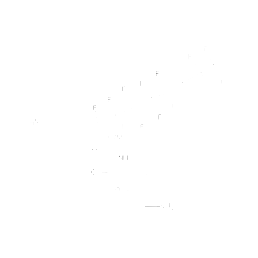 C=CC(=O)OC(C)NS(=O)(=O)C(F)(CCCC)C(F)(F)C(F)(F)C(F)(F)C(F)(F)C(F)(F)C(F)(F)C(F)(F)F